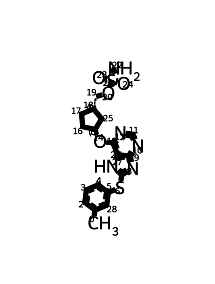 Cc1cccc(Sc2nc3ncnc(O[C@H]4CC[C@H](COS(N)(=O)=O)C4)c3[nH]2)c1